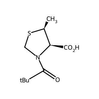 C[C@@H]1SCN(C(=O)C(C)(C)C)[C@@H]1C(=O)O